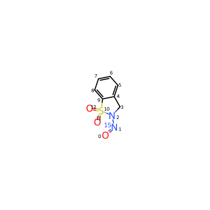 O=[15N]N1Cc2ccccc2S1(=O)=O